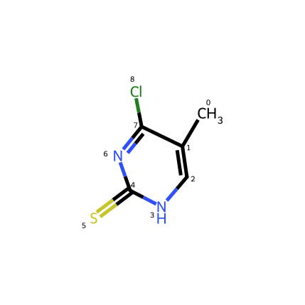 Cc1c[nH]c(=S)nc1Cl